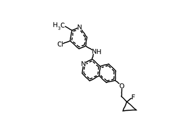 Cc1ncc(Nc2nccc3cc(OCC4(F)CC4)ccc23)cc1Cl